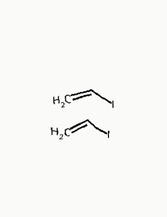 C=CI.C=CI